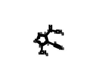 CNc1snc(C)c1C#N